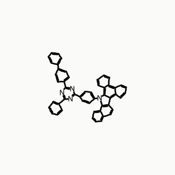 c1ccc(-c2ccc(-c3nc(-c4ccccc4)nc(-c4ccc(-n5c6c7ccccc7ccc6c6c7ccccc7c7ccccc7c65)cc4)n3)cc2)cc1